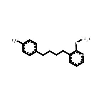 O=C(O)Oc1ncccc1CCCCc1ccc(C(F)(F)F)cc1